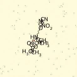 CN(C)c1ccc2c(c1)Oc1cc(N(C)C)ccc1C21OC(=O)c2ccc(C(=O)NCCCCCCOc3ccc4nc(C#N)sc4c3[N+](=O)[O-])cc21